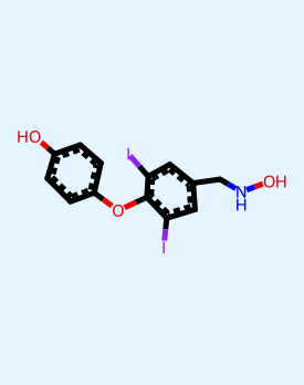 ONCc1cc(I)c(Oc2ccc(O)cc2)c(I)c1